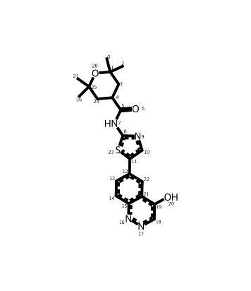 CC1(C)CC(C(=O)Nc2ncc(-c3ccc4nncc(O)c4c3)s2)CC(C)(C)O1